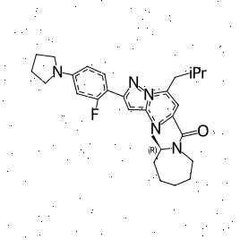 CC(C)Cc1cc(C(=O)N2CCCCC[C@H]2C)nc2cc(-c3ccc(N4CCCC4)cc3F)nn12